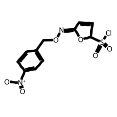 O=[N+]([O-])c1ccc(CO/N=C2/C=CC(S(=O)(=O)Cl)O2)cc1